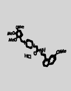 COc1ccc2cccc(CCNC(=O)CN3CCN(Cc4ccc(OC)c(OC)c4OC)CC3)c2c1.Cl